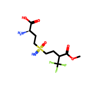 COC(=O)C(CCS(=N)(=O)CC[C@H](N)C(=O)O)C(F)(F)F